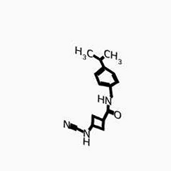 CC(C)c1ccc(CNC(=O)C2CC(NC#N)C2)cc1